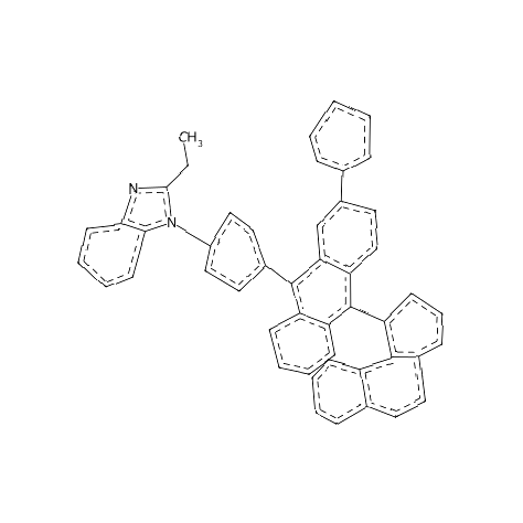 CCc1nc2ccccc2n1-c1ccc(-c2c3ccccc3c(-c3cccc4ccc5ccccc5c34)c3ccc(-c4ccccc4)cc23)cc1